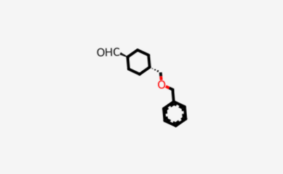 O=C[C@H]1CC[C@H](COCc2ccccc2)CC1